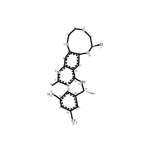 CC[C@@H]1COCCOc2cc3nc(C)nc(N[C@H](C)c4cc(N)cc(C(F)(F)F)c4)c3cc2O1